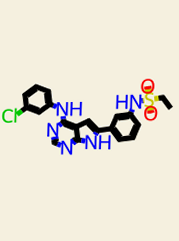 CCS(=O)(=O)Nc1cccc(-c2cc3c(Nc4cccc(Cl)c4)ncnc3[nH]2)c1